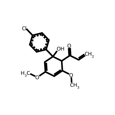 C=CC(=O)C1C(OC)=CC(OC)=CC1(O)c1ccc(Cl)cc1